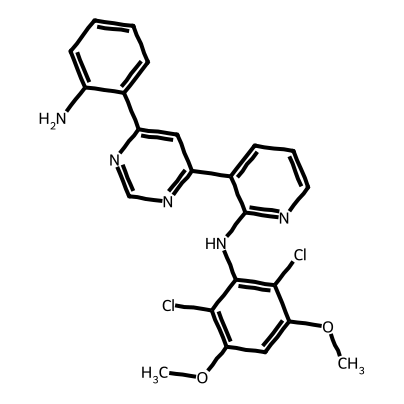 COc1cc(OC)c(Cl)c(Nc2ncccc2-c2cc(-c3ccccc3N)ncn2)c1Cl